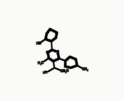 CCCC(C(=O)O)c1c(C)nc(-c2ccccc2O)nc1-c1ccc(C)cc1